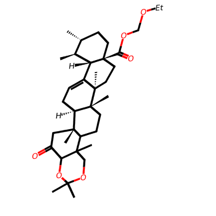 CCOCOC(=O)[C@]12CC[C@@H](C)[C@H](C)[C@H]1C1=CC[C@@H]3[C@@]4(C)CC(=O)C5OC(C)(C)OCC5(C)C4CC[C@@]3(C)[C@]1(C)CC2